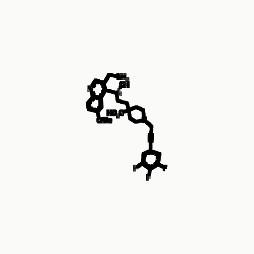 COc1ccc2ncc(CN)c([C@H](O)CCC3(C(=O)O)CCN(CC#Cc4cc(F)c(F)c(F)c4)CC3)c2c1